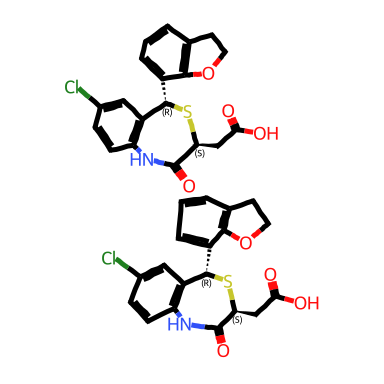 O=C(O)C[C@@H]1S[C@@H](c2cccc3c2OCC3)c2cc(Cl)ccc2NC1=O.O=C(O)C[C@@H]1S[C@@H](c2cccc3c2OCC3)c2cc(Cl)ccc2NC1=O